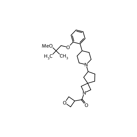 COC(C)(C)COc1ccccc1C1CCN(C2CCC3(C2)CN(C(=O)C2COC2)C3)CC1